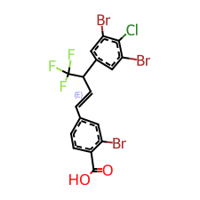 O=C(O)c1ccc(/C=C/C(c2cc(Br)c(Cl)c(Br)c2)C(F)(F)F)cc1Br